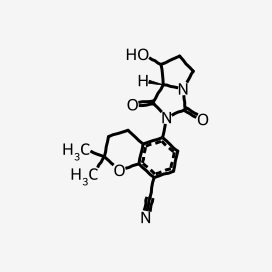 CC1(C)CCc2c(N3C(=O)[C@@H]4C(O)CCN4C3=O)ccc(C#N)c2O1